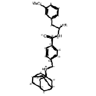 CCCCC(Cc1cccc(OC)c1)NC(=O)c1ccc(CNC23CC4CC(CC(C4)C2)C3)cc1